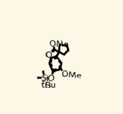 COC(=O)C1(c2ccc(O[Si](C)(C)C(C)(C)C)c(OC)c2)CCCC1